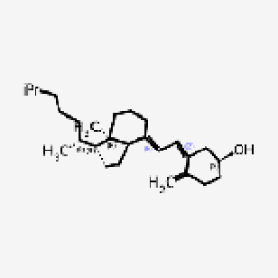 C=C1CC[C@H](O)C/C1=C/C=C1\CCC[C@@]2(C)C1CC[C@@H]2[C@H](C)CCCC(C)C